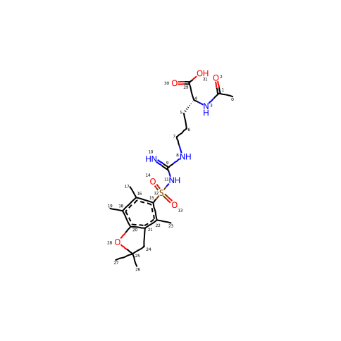 CC(=O)N[C@H](CCCNC(=N)NS(=O)(=O)c1c(C)c(C)c2c(c1C)CC(C)(C)O2)C(=O)O